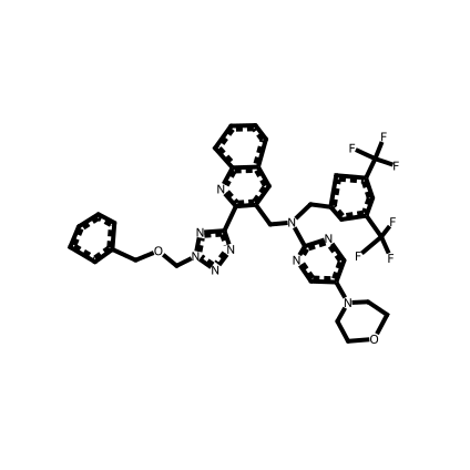 FC(F)(F)c1cc(CN(Cc2cc3ccccc3nc2-c2nnn(COCc3ccccc3)n2)c2ncc(N3CCOCC3)cn2)cc(C(F)(F)F)c1